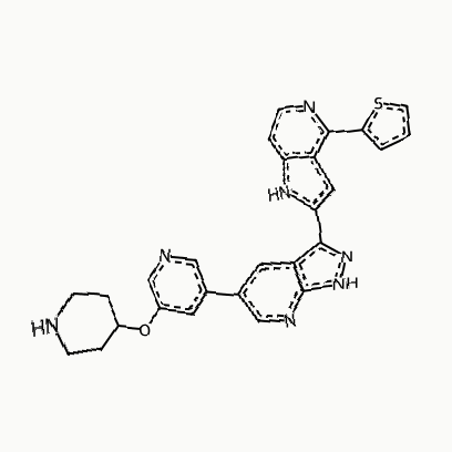 c1csc(-c2nccc3[nH]c(-c4n[nH]c5ncc(-c6cncc(OC7CCNCC7)c6)cc45)cc23)c1